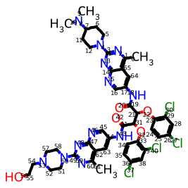 Cc1nc(N2CCC(N(C)C)CC2)nc2ncc(NC(=O)C(Oc3ccc(Cl)cc3Cl)C(Oc3ccc(Cl)cc3Cl)C(=O)Nc3cnc4nc(N5CCN(CCO)CC5)nc(C)c4c3)cc12